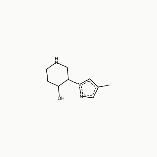 OC1CCNCC1n1cc(I)cn1